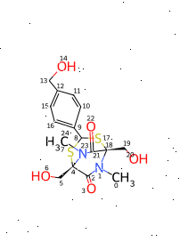 CN1C(=O)[C@]2(CO)SC(c3ccc(CO)cc3)S[C@@]1(CO)C(=O)N2C